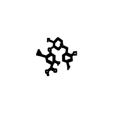 COC(=O)c1cc(C2CC2)c(O[C@H]2CN(Cc3ccc(F)cc3Cl)CC[C@@H]2F)cc1F